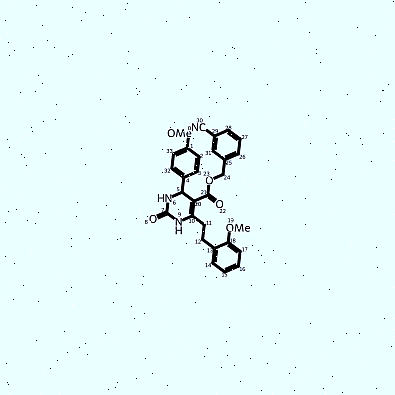 COc1ccc(C2NC(=O)NC(CCc3ccccc3OC)=C2C(=O)OCc2cccc(C#N)c2)cc1